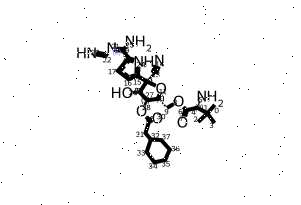 CC(C)(C)[C@@H](N)C(=O)OC[C@H]1O[C@@](C#N)(c2ccc(/C(N)=N\C=N)[nH]2)[C@H](O)[C@@H]1OC(=O)CC1CCCCC1